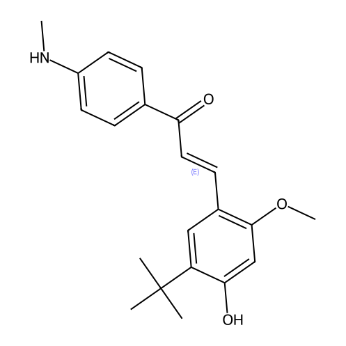 CNc1ccc(C(=O)/C=C/c2cc(C(C)(C)C)c(O)cc2OC)cc1